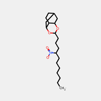 [CH2]CCCCCCC(CCC[C]1OC2CC3CCC2C(C3)O1)[N+](=O)[O-]